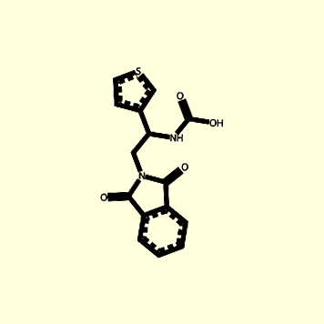 O=C(O)NC(CN1C(=O)c2ccccc2C1=O)c1ccsc1